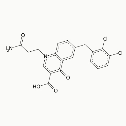 NC(=O)CCn1cc(C(=O)O)c(=O)c2cc(Cc3cccc(Cl)c3Cl)ccc21